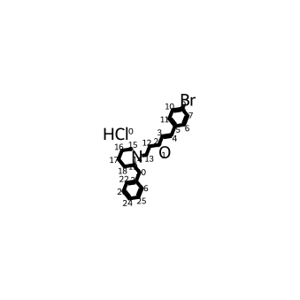 Cl.O=C(C=Cc1ccc(Br)cc1)CCN1CCCCC1Cc1ccccc1